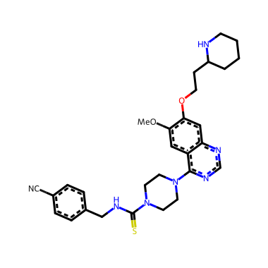 COc1cc2c(N3CCN(C(=S)NCc4ccc(C#N)cc4)CC3)ncnc2cc1OCCC1CCCCN1